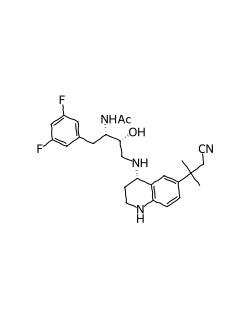 CC(=O)N[C@@H](Cc1cc(F)cc(F)c1)[C@H](O)CN[C@H]1CCNc2ccc(C(C)(C)CC#N)cc21